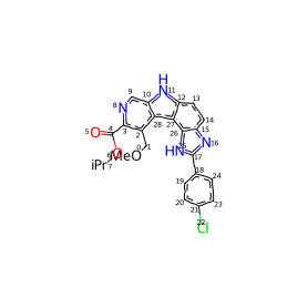 COCc1c(C(=O)OC(C)C)ncc2[nH]c3ccc4nc(-c5ccc(Cl)cc5)[nH]c4c3c12